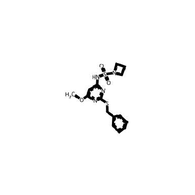 COc1cc(NS(=O)(=O)N2CCC2)nc(SCc2ccccc2)n1